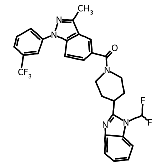 Cc1nn(-c2cccc(C(F)(F)F)c2)c2ccc(C(=O)N3CCC(c4nc5ccccc5n4C(F)F)CC3)cc12